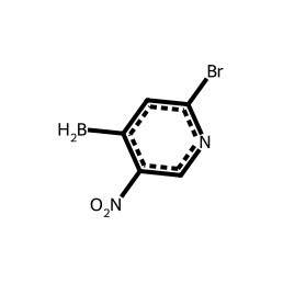 Bc1cc(Br)ncc1[N+](=O)[O-]